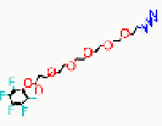 [N-]=[N+]=NCCOCCOCCOCCOCCOCCC(=O)Oc1c(F)c(F)c(F)c(F)c1F